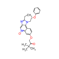 CCc1nc2c[n+]([O-])c3cc(OCC(=O)C(C)(C)C)ccc3c2n1CCOc1ccccc1